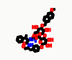 COc1ccc2cc(COC3C(O)C(CO)OC(OC4C(CO)OC(Oc5ccc(C[C@@H]([C]=O)NC(=O)[C@@H](N)C(C)c6ccccc6)cc5)C(O)C4O)C3O)ccc2c1